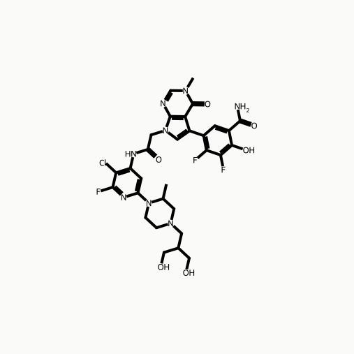 CC1CN(CC(CO)CO)CCN1c1cc(NC(=O)Cn2cc(-c3cc(C(N)=O)c(O)c(F)c3F)c3c(=O)n(C)cnc32)c(Cl)c(F)n1